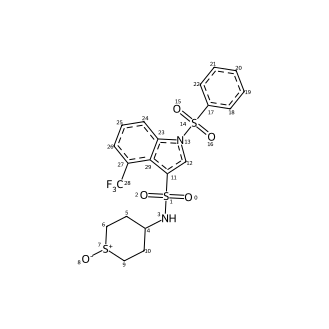 O=S(=O)(NC1CC[S+]([O-])CC1)c1cn(S(=O)(=O)c2ccccc2)c2cccc(C(F)(F)F)c12